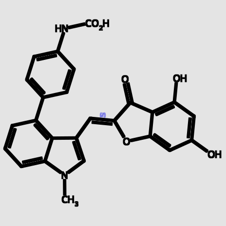 Cn1cc(/C=C2\Oc3cc(O)cc(O)c3C2=O)c2c(-c3ccc(NC(=O)O)cc3)cccc21